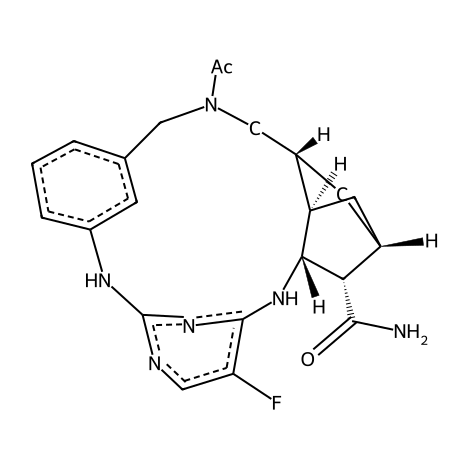 CC(=O)N1Cc2cccc(c2)Nc2ncc(F)c(n2)N[C@@H]2[C@@H]3C[C@@H](C[C@H]3C1)[C@@H]2C(N)=O